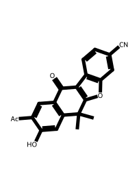 CC(=O)c1cc2c(cc1O)C(C)(C)c1oc3cc(C#N)ccc3c1C2=O